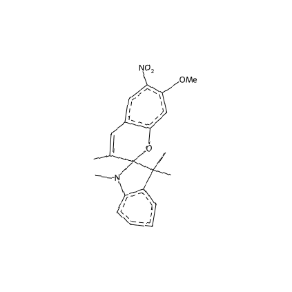 COc1cc2c(cc1[N+](=O)[O-])C=C(C)C1(O2)N(C)c2ccccc2C1(C)C